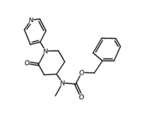 CN(C(=O)OCc1ccccc1)C1CCN(c2ccncc2)C(=O)C1